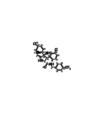 CC(C)(C)/C=C1/N[C@@H](C(=O)NCc2ccc(C(F)(F)F)cc2)[C@H](c2cccc(Cl)c2)[C@@]1(N)c1ccc(Cl)cc1